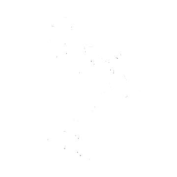 Cc1cc(OCC#Cc2ccc3c(c2)C(=O)N(C(C)CC(=O)OC(=O)C(F)(F)F)CC(=O)N3Cc2ccccc2)nc(N)n1